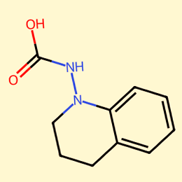 O=C(O)NN1CCCc2ccccc21